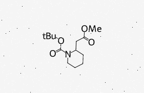 COC(=O)CC1CCCCN1C(=O)OC(C)(C)C